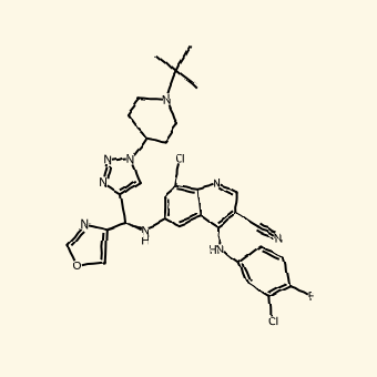 CC(C)(C)N1CCC(n2cc([C@@H](Nc3cc(Cl)c4ncc(C#N)c(Nc5ccc(F)c(Cl)c5)c4c3)c3cocn3)nn2)CC1